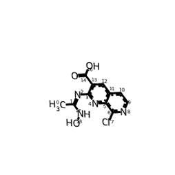 CC(=Nc1nc2c(Cl)nccc2cc1C(=O)O)NO